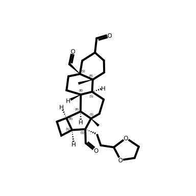 C[C@]12CC[C@H]3[C@@H](CC[C@]4(C=O)CC(C=O)CC[C@]34C)[C@@H]1[C@@H]1CC[C@@H]1[C@@]2(C=O)CCC1OCCO1